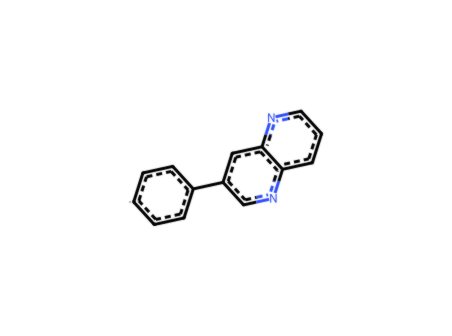 [c]1ccc(-c2cnc3cccnc3c2)cc1